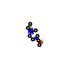 c1ccc(-c2nc(-c3cccc(-c4cccc(-n5c6ccccc6c6cc7oc8ccccc8c7cc65)c4)c3)nc(-c3cccc4c3sc3ccccc34)n2)cc1